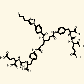 O=C(O)CCC(NC(=O)NC(Cc1ccc(NC(=O)CCC(CCC(=O)Nc2ccc(CC(NC(=O)NC(CCC(=O)O)C(=O)O)C(=O)O)cc2)NC(=O)c2ccc(-n3cc(CCCF)nn3)cc2)cc1)C(=O)O)C(=O)O